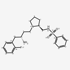 N[C@@H](CCN1CCC[C@H]1CNS(=O)(=O)c1ccccc1)Cc1ccccc1F